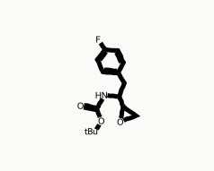 CC(C)(C)OC(=O)NC(Cc1ccc(F)cc1)C1CO1